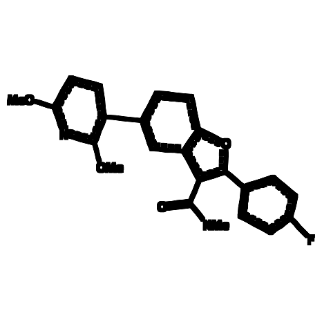 CNC(=O)c1c(-c2ccc(F)cc2)oc2ccc(-c3ccc(OC)nc3OC)cc12